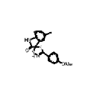 COc1ccc(C2=NNC3(S2)C(=O)Nc2ccc(C)cc23)cc1